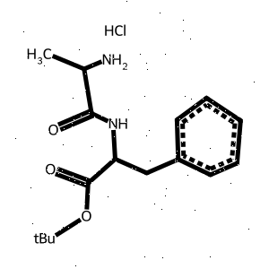 CC(N)C(=O)NC(Cc1ccccc1)C(=O)OC(C)(C)C.Cl